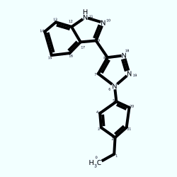 CCc1ccc(-n2cc(-c3n[nH]c4ccccc34)nn2)cc1